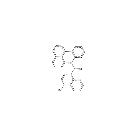 O=C(Nc1ccccc1-c1cccc2ccccc12)c1ccc(Br)c2cccnc12